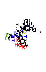 CCc1cc2sc(-c3c(C)nc(NCC(F)(F)F)nc3N[C@@H]3C[C@H](CO)[C@@H](O)[C@H]3O)nc2c(CC)n1